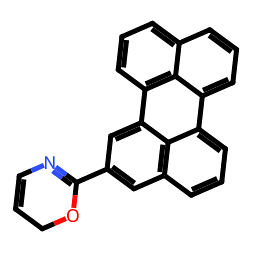 C1=CN=C(c2cc3cccc4c5cccc6cccc(c(c2)c34)c65)OC1